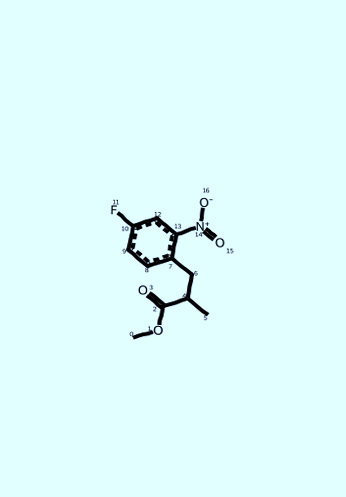 COC(=O)C(C)Cc1ccc(F)cc1[N+](=O)[O-]